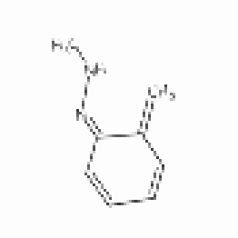 C=C1C=CC=C/C1=N/NC